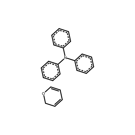 C1=CCOC=C1.c1ccc(N(c2ccccc2)c2ccccc2)cc1